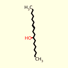 CCCCCCC=CCCC(O)CCCCCCC